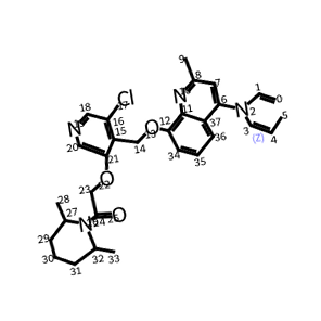 C=CN(/C=C\C)c1cc(C)nc2c(OCc3c(Cl)cncc3OCC(=O)N3C(C)CCCC3C)cccc12